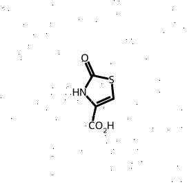 O=C(O)c1csc(=O)[nH]1